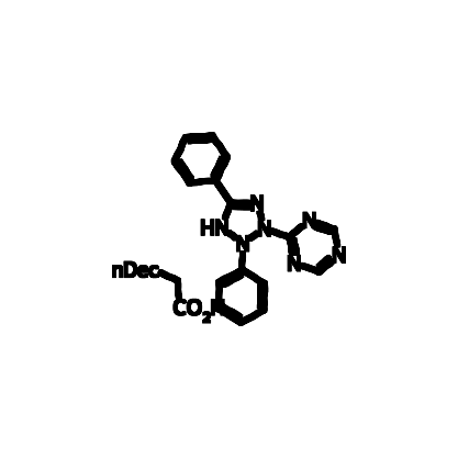 CCCCCCCCCCCC(=O)O.c1ccc(C2=NN(c3ncncn3)N(c3ccccc3)N2)cc1